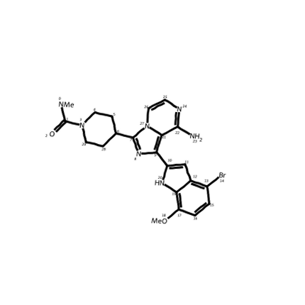 CNC(=O)N1CCC(c2nc(-c3cc4c(Br)ccc(OC)c4[nH]3)c3c(N)nccn23)CC1